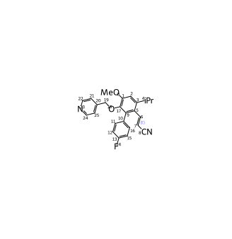 COc1cc(C(C)C)c(/C=C/C#N)c(-c2ccc(F)cc2)c1OCc1ccncc1